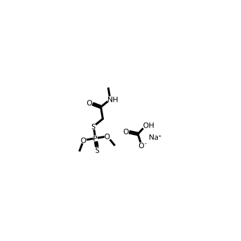 CNC(=O)CSP(=S)(OC)OC.O=C([O-])O.[Na+]